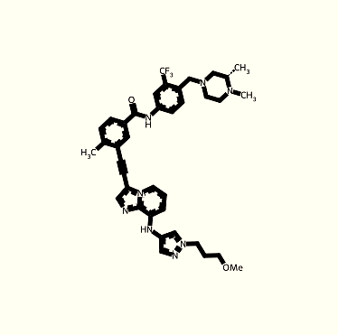 COCCCn1cc(Nc2cccn3c(C#Cc4cc(C(=O)Nc5ccc(CN6CCN(C)[C@@H](C)C6)c(C(F)(F)F)c5)ccc4C)cnc23)cn1